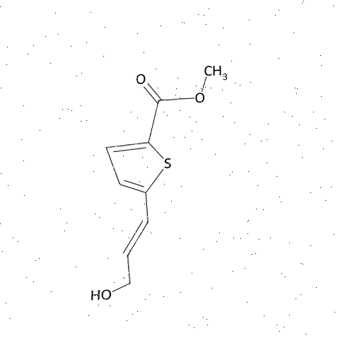 COC(=O)c1ccc(/C=C/CO)s1